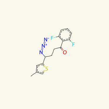 Cc1csc(C(CCC(=O)c2c(F)cccc2F)N=[N+]=[N-])c1